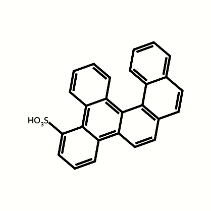 O=S(=O)(O)c1cccc2c3ccc4ccc5ccccc5c4c3c3ccccc3c12